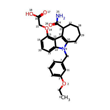 CCOc1cccc(Cn2c3c(c4c(OCC(=O)O)cccc42)C(C(N)=O)CCCC3)c1